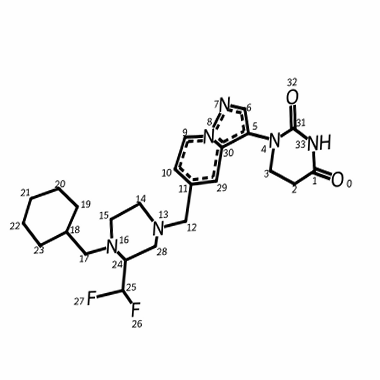 O=C1CCN(c2cnn3ccc(CN4CCN(CC5CCCCC5)C(C(F)F)C4)cc23)C(=O)N1